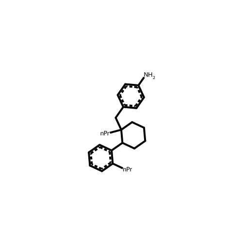 CCCc1ccccc1C1CCCCC1(CCC)Cc1ccc(N)cc1